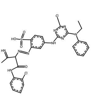 CCN(c1ccccc1)c1nc(Cl)nc(Nc2ccc(S(=O)(=O)O)c(/N=N/C(C(C)=N)C(=O)Nc3ccccc3Cl)c2)n1